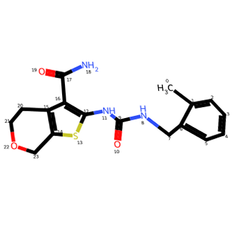 Cc1ccccc1CNC(=O)Nc1sc2c(c1C(N)=O)CCOC2